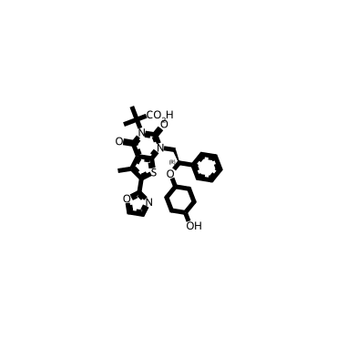 Cc1c(-c2ncco2)sc2c1c(=O)n(C(C)(C)C(=O)O)c(=O)n2C[C@H](OC1CCC(O)CC1)c1ccccc1